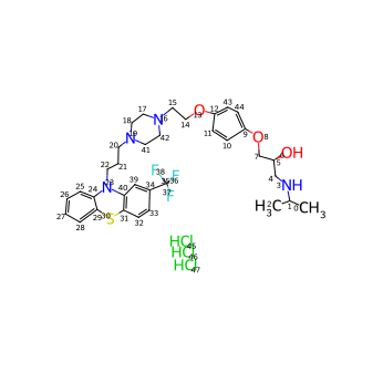 CC(C)NC[C@H](O)COc1ccc(OCCN2CCN(CCCN3c4ccccc4Sc4ccc(C(F)(F)F)cc43)CC2)cc1.Cl.Cl.Cl